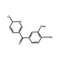 COc1ccc(C(=O)C2=CN[C](Cl)C=C2)cc1OC